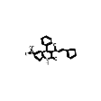 O=C(/C=C/c1ccccc1)c1c(-c2ccccc2)c2cc([N+](=O)[O-])ccc2[nH]c1=O